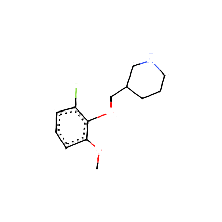 COc1cccc(F)c1OCC1CCCNC1